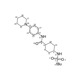 CC(C)(C)S(=O)(=O)NC1CCC(C(=O)Nc2ccc(N3CCCCC3)cc2)CC1